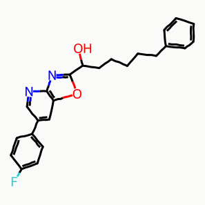 OC(CCCCCc1ccccc1)c1nc2ncc(-c3ccc(F)cc3)cc2o1